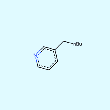 [CH2]CCCCc1cccnc1